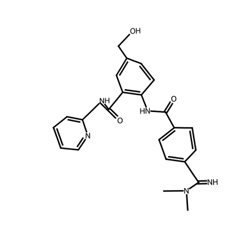 CN(C)C(=N)c1ccc(C(=O)Nc2ccc(CO)cc2C(=O)Nc2ccccn2)cc1